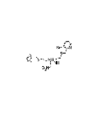 O=[N+]([O-])/C=C(\NCCSCc1nccs1)NCCSCc1ncccc1Br